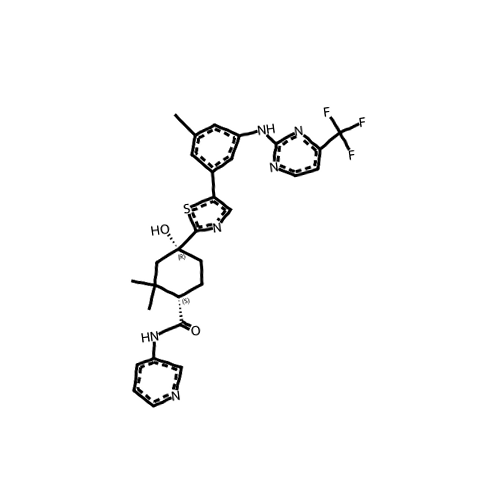 Cc1cc(Nc2nccc(C(F)(F)F)n2)cc(-c2cnc([C@@]3(O)CC[C@H](C(=O)Nc4cccnc4)C(C)(C)C3)s2)c1